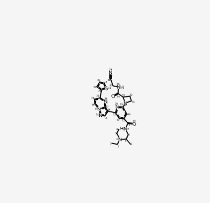 CCN(CC)C(C)CNC(=O)c1cc(-c2cnn3ccc(-c4cccs4)nc23)nc(N2CCC2C(=O)NCC#N)c1